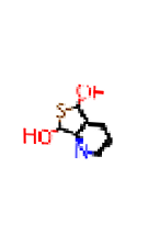 OC1SC(O)c2ncccc21